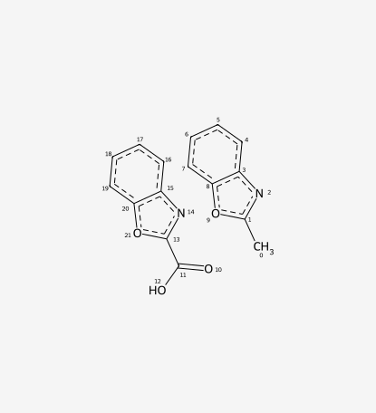 Cc1nc2ccccc2o1.O=C(O)c1nc2ccccc2o1